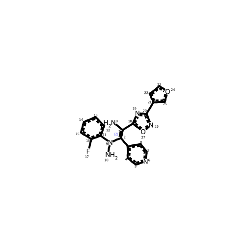 N/C(=C(/c1ccncc1)N(N)c1ccccc1F)c1nc(-c2ccoc2)no1